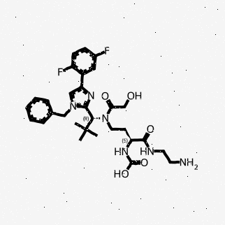 CC(C)(C)[C@H](c1nc(-c2cc(F)ccc2F)cn1Cc1ccccc1)N(CC[C@H](NC(=O)O)C(=O)NCCN)C(=O)CO